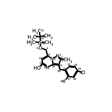 Cc1nn2c(CO[Si](C)(C)C(C)(C)C)cc(O)nc2c1Cc1ccc(Cl)cc1F